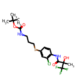 CC(C)(C)OC(=O)NCCCSc1ccc(NC(=O)C(C)(O)C(F)(F)F)c(Cl)c1